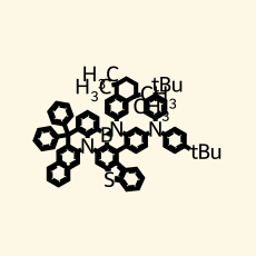 CC(C)(C)c1ccc(N(c2ccc(C(C)(C)C)cc2)c2ccc3c(c2)N(c2ccc4c(c2)C(C)(C)CCC4(C)C)B2c4cccc5c4N(c4cc6ccccc6cc4C5(c4ccccc4)c4ccccc4)c4cc5sc6ccccc6c5c-3c42)cc1